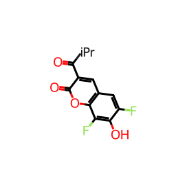 CC(C)C(=O)c1cc2cc(F)c(O)c(F)c2oc1=O